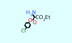 CCOC(=O)C(=CN)C(=O)Oc1ccc(Cl)cc1